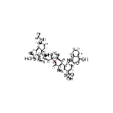 Cc1cc(/N=N\c2cc3nn(-c4ccccc4C(=O)O)nc3cc2S(=O)(=O)O)c(C)cc1/N=N\c1cc(C)c(/N=N\c2c(S(=O)(=O)O)cc3cc(NC=O)ccc3c2O)cc1C